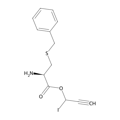 C#CC(I)OC(=O)[C@@H](N)CSCc1ccccc1